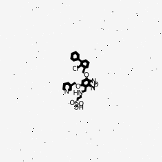 O=S(=O)(O)CCNCc1c(OCc2cccnc2)cc(OCc2cccc(-c3ccccc3)c2Cl)c2nonc12